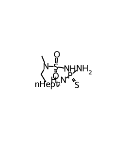 CCCCCCCCN(C)S(=O)(=O)NP(N)(N)=S